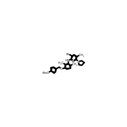 COc1ccc(COc2ccc(C)c(Nc3nc(N4CCCC4)c(C)cc3Br)c2C)cc1